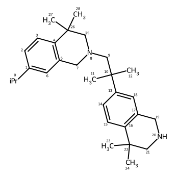 CC(C)c1ccc2c(c1)CN(CC(C)(C)c1ccc3c(c1)CNCC3(C)C)CC2(C)C